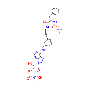 CN(C=O)C(O)[C@H]1O[C@@H](n2cnc3c(NCc4cccc(C#CCNC(=O)[C@H](Cc5ccccc5)NC(=O)OC(C)(C)C)c4)ncnc32)[C@H](O)[C@@H]1O